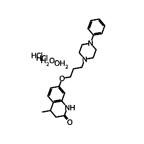 CC1CC(=O)Nc2cc(OCCCN3CCN(c4ccccc4)CC3)ccc21.Cl.Cl.O.O